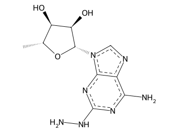 C[C@H]1O[C@@H](n2cnc3c(N)nc(NN)nc32)[C@H](O)[C@@H]1O